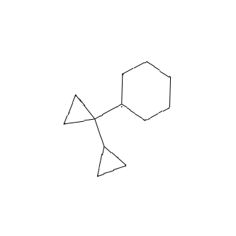 C1CC[C](C2(C3CC3)CC2)CC1